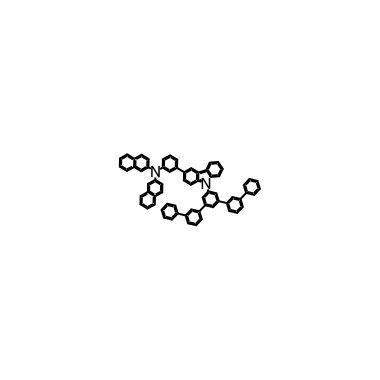 c1ccc(-c2cccc(-c3cc(-c4cccc(-c5ccccc5)c4)cc(-n4c5ccccc5c5cc(-c6cccc(N(c7ccc8ccccc8c7)c7ccc8ccccc8c7)c6)ccc54)c3)c2)cc1